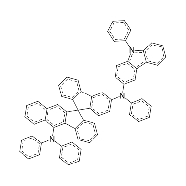 c1ccc(N(c2ccc3c(c2)-c2ccccc2C32c3ccccc3-c3c2cc2ccccc2c3N(c2ccccc2)c2ccccc2)c2ccc3c(c2)c2ccccc2n3-c2ccccc2)cc1